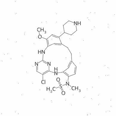 COc1cc(C2CCNCC2)c2cc1Nc1ncc(Cl)c(n1)Nc1cc(ccc1N(C)S(C)(=O)=O)CC2